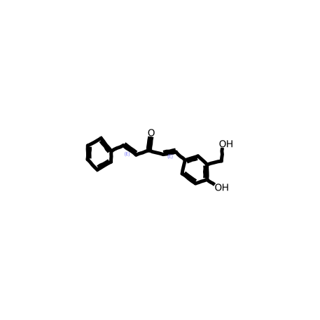 O=C(/C=C/c1ccccc1)/C=C/c1ccc(O)c(CO)c1